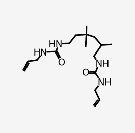 C=CCNC(=O)NCCC(C)(C)CC(C)CNC(=O)NCC=C